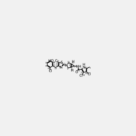 Cc1[nH]c(C(=O)NC2[C@H]3CN(c4nc(Cc5ccccc5Cl)c(C(=O)O)s4)C[C@@H]23)c(Cl)c1Cl